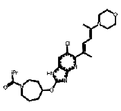 C/C(=C\C=C(/C)N1CCOCC1)c1nc2nc(OC3CCCN(C(=O)C(C)C)CC3)[nH]c2cc1Cl